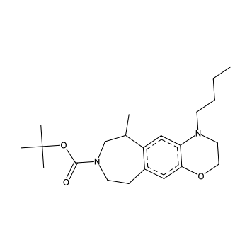 CCCCN1CCOc2cc3c(cc21)C(C)CN(C(=O)OC(C)(C)C)CC3